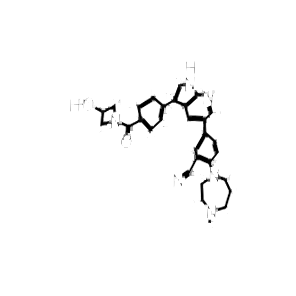 CN1CCCN(c2ccc(-c3cnc4[nH]cc(-c5ccc(C(=O)N6CC(O)C6)cc5)c4c3)cc2C#N)CC1